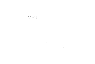 CNC(=O)C(C)Sc1ncco1